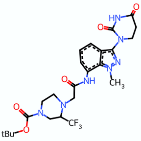 Cn1nc(N2CCC(=O)NC2=O)c2cccc(NC(=O)CN3CCN(C(=O)OC(C)(C)C)CC3C(F)(F)F)c21